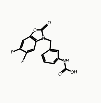 O=C(O)Nc1cccc(Cn2c(=O)oc3cc(F)c(F)cc32)c1